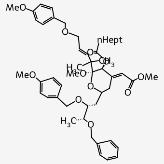 CCCCCCCC(=O)O[C@H]1/C(=C/C(=O)OC)CC(C[C@@H](OCc2ccc(OC)cc2)[C@@H](C)OCc2ccccc2)O[C@@]1(OC)C(C)(C)/C=C/COCc1ccc(OC)cc1